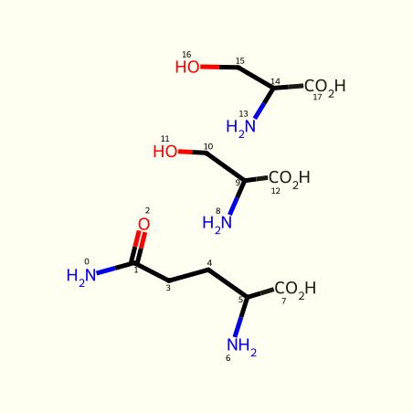 NC(=O)CCC(N)C(=O)O.NC(CO)C(=O)O.NC(CO)C(=O)O